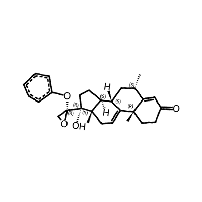 C[C@H]1C[C@@H]2C(=CC[C@@]3(C)[C@H]2CC[C@]3(O)[C@]2(Oc3ccccc3)CO2)[C@@]2(C)CCC(=O)C=C12